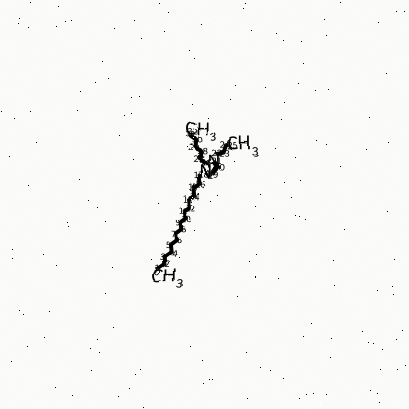 CCCCCCCCCCCCCCCCCC[n+]1ccn(CCCC)c1CCCCCC